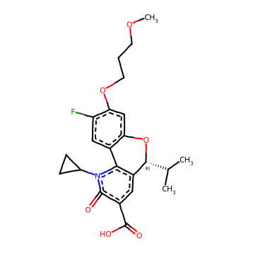 COCCCOc1cc2c(cc1F)-c1c(cc(C(=O)O)c(=O)n1C1CC1)[C@@H](C(C)C)O2